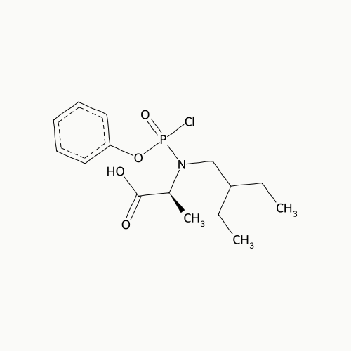 CCC(CC)CN([C@@H](C)C(=O)O)P(=O)(Cl)Oc1ccccc1